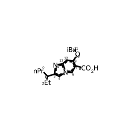 CCCC(CC)c1cn2cc(C(=O)O)c(OC(C)CC)cc2n1